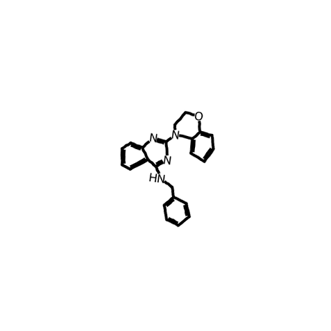 c1ccc(CNc2nc(N3CCOc4ccccc43)nc3ccccc23)cc1